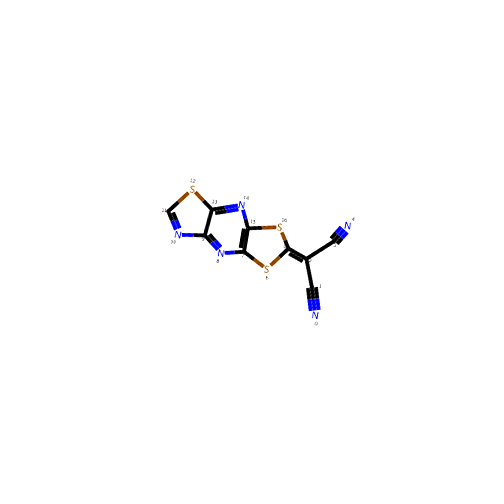 N#CC(C#N)=C1Sc2nc3ncsc3nc2S1